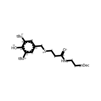 CCCCCCCCCCCCNC(=O)CCSCc1cc(C(C)(C)C)c(O)c(C(C)(C)C)c1